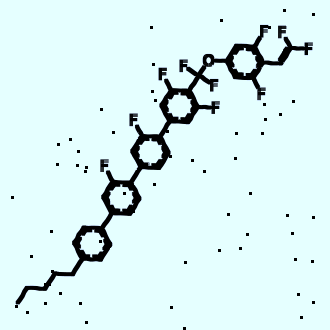 CCCCCc1ccc(-c2ccc(-c3ccc(-c4cc(F)c(C(F)(F)Oc5cc(F)c(C=C(F)F)c(F)c5)c(F)c4)c(F)c3)c(F)c2)cc1